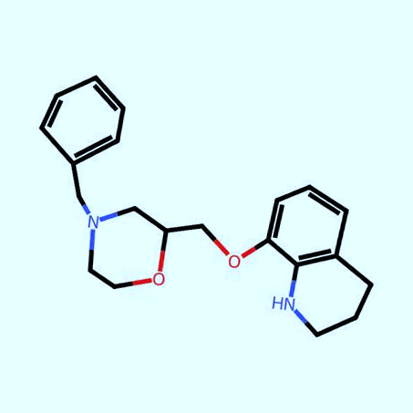 c1ccc(CN2CCOC(COc3cccc4c3NCCC4)C2)cc1